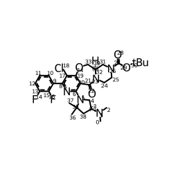 CN(C)[C@@H]1CN(c2nc(-c3cccc(F)c3F)c(Cl)c3c2C(=O)N2CCN(C(=O)OC(C)(C)C)C[C@@H]2CO3)C(C)(C)C1